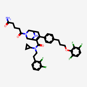 NC(=O)CCCC(=O)N1CC2CC(c3ccc(CCCOc4c(F)ccc(F)c4F)cc3)=C(C(=O)N(CCc3cccc(F)c3F)C3CC3)C(C1)N2